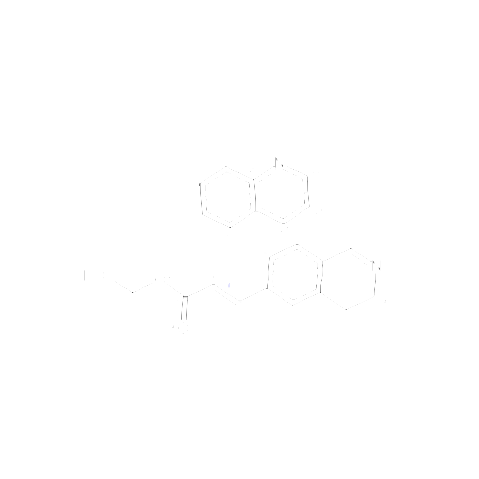 CCOC(=O)/C=C/c1ccc2c(c1)CCN=C2.c1ccc2ncccc2c1